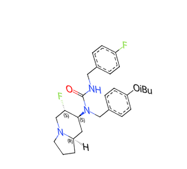 CC(C)COc1ccc(CN(C(=O)NCc2ccc(F)cc2)[C@H]2C[C@H]3CCCN3C[C@@H]2F)cc1